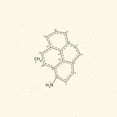 C.Nc1ccc2ccc3cccc4ccc1c2c34